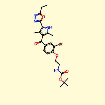 CCc1nnc(-c2[nH]c(C)c(C(=O)c3ccc(OCCNC(=O)OC(C)(C)C)c(Br)c3)c2C)o1